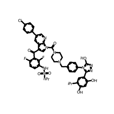 CCCS(=O)(=O)Nc1ccc(F)c(C(=O)c2cn(C(=O)N3CCN(Cc4ccc(-n5c(O)nnc5-c5cc(C(C)C)c(O)cc5O)cc4)CC3)c3ncc(-c4ccc(Cl)cc4)cc23)c1F